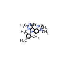 CCCN(CCC)c1c(N(C)C)ccc2c1c1cnc(C)nc1n2-c1c(C)cc(C)cc1C